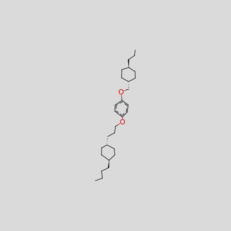 CCCC[C@H]1CC[C@H](CCCOc2ccc(OC[C@H]3CC[C@H](CCC)CC3)cc2)CC1